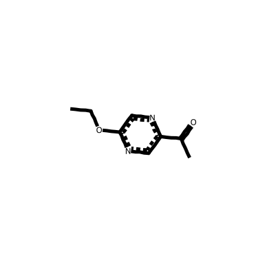 CCOc1cnc(C(C)=O)cn1